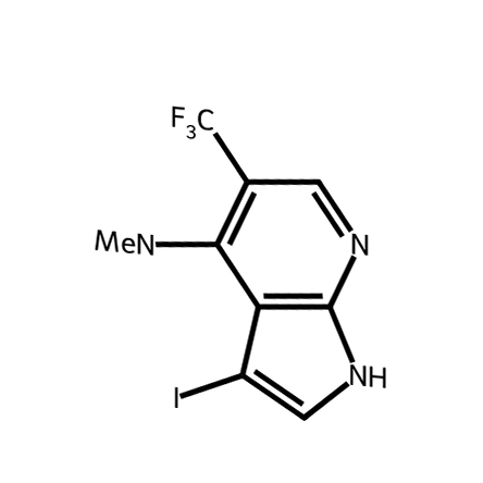 CNc1c(C(F)(F)F)cnc2[nH]cc(I)c12